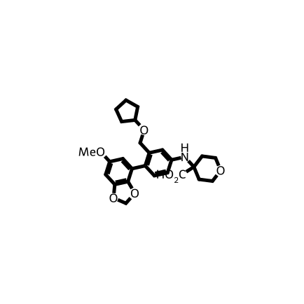 COc1cc2c(c(-c3ccc(NC4(C(=O)O)CCOCC4)cc3COC3CCCC3)c1)OCO2